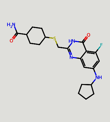 NC(=O)C1CCC(SCc2nc3cc(NC4CCCC4)cc(F)c3c(=O)[nH]2)CC1